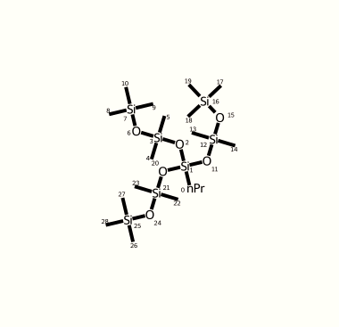 [CH2]CC[Si](O[Si](C)(C)O[Si](C)(C)C)(O[Si](C)(C)O[Si](C)(C)C)O[Si](C)(C)O[Si](C)(C)C